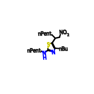 CCCCCNc1nc(CCCC)c(C(CCCCC)C[N+](=O)[O-])s1